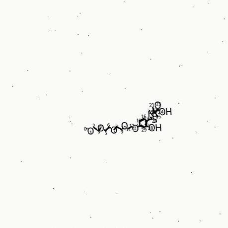 COCCOCCOCCOCCOc1ccc(C2=NC(C)(C(=O)O)CS2)c(O)c1